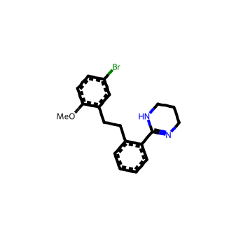 COc1ccc(Br)cc1CCc1ccccc1C1=NCCCN1